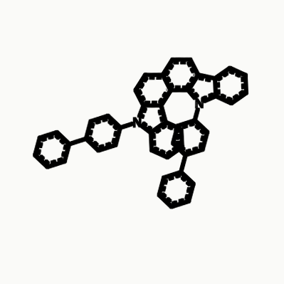 c1ccc(-c2ccc(-n3c4ccccc4c4c5c(ccc6c7ccccc7n(-c7ccc(-c8ccccc8)cc7)c65)ccc43)cc2)cc1